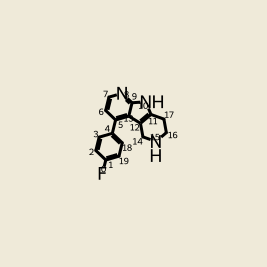 Fc1ccc(-c2ccnc3[nH]c4c(c23)CNCC4)cc1